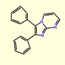 c1ccc(-c2nc3ncccn3c2-c2ccccc2)cc1